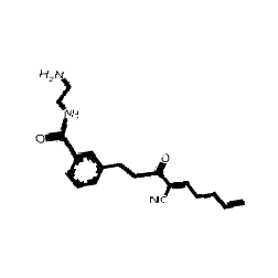 C=CCC/C=C(\C#N)C(=O)CCc1cccc(C(=O)NCCN)c1